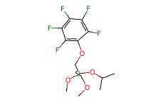 CO[Si](COc1c(F)c(F)c(F)c(F)c1F)(OC)OC(C)C